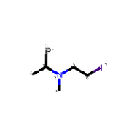 CC(C)C(C)N(C)CCI